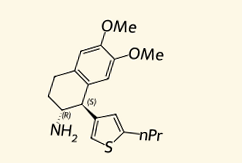 CCCc1cc([C@@H]2c3cc(OC)c(OC)cc3CC[C@H]2N)cs1